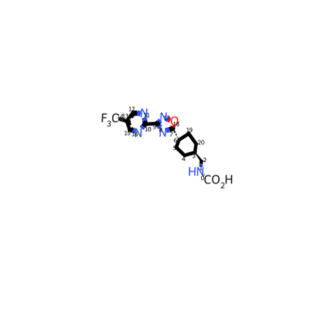 O=C(O)NC[C@H]1CC[C@H](c2nc(-c3ncc(C(F)(F)F)cn3)no2)CC1